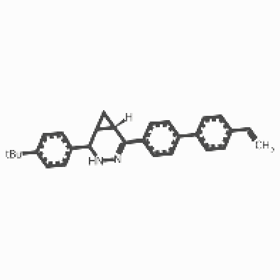 C=Cc1ccc(-c2ccc(C3=NNC(c4ccc(C(C)(C)C)cc4)C4C[C@H]34)cc2)cc1